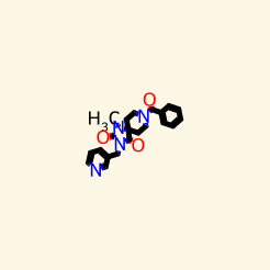 CN1C(=O)N(Cc2cccnc2)C(=O)C12CCN(C(=O)c1ccccc1)CC2